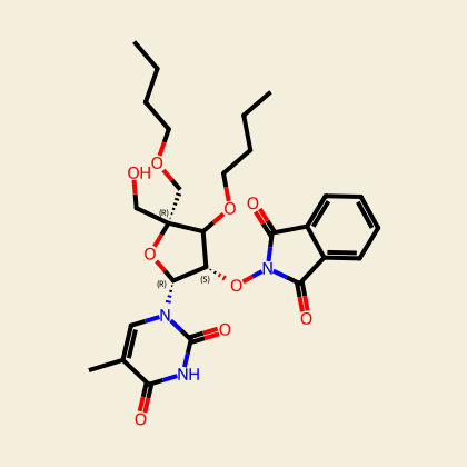 CCCCOC[C@@]1(CO)O[C@@H](n2cc(C)c(=O)[nH]c2=O)[C@@H](ON2C(=O)c3ccccc3C2=O)C1OCCCC